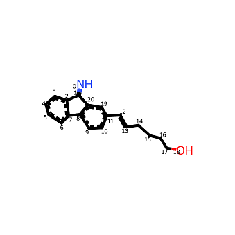 N=C1c2ccccc2-c2ccc(/C=C/CCCCO)cc21